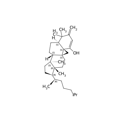 C=C1C=C(O)[C@]23C[C@]24CC[C@]2(C)[C@@H]([C@H](C)CCCC(C)C)CC[C@@]2(C)[C@@H]4CC[C@H]3C1(C)C